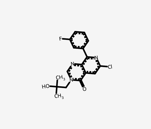 CC(C)(O)Cn1cnc2c(-c3cccc(F)c3)nc(Cl)cc2c1=O